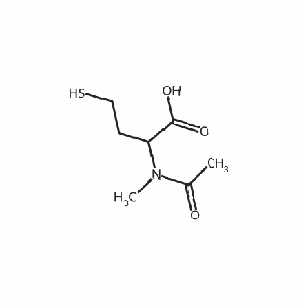 CC(=O)N(C)C(CCS)C(=O)O